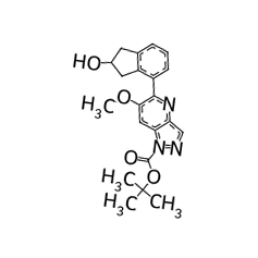 COc1cc2c(cnn2C(=O)OC(C)(C)C)nc1-c1cccc2c1CC(O)C2